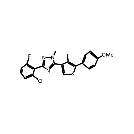 COc1ccc(-c2scc(-c3nc(-c4c(F)cccc4Cl)nn3C)c2C)cc1